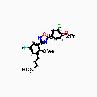 COc1c(CCCC(=O)O)cc(F)cc1-c1noc(-c2ccc(OC(C)C)c(Cl)c2)n1